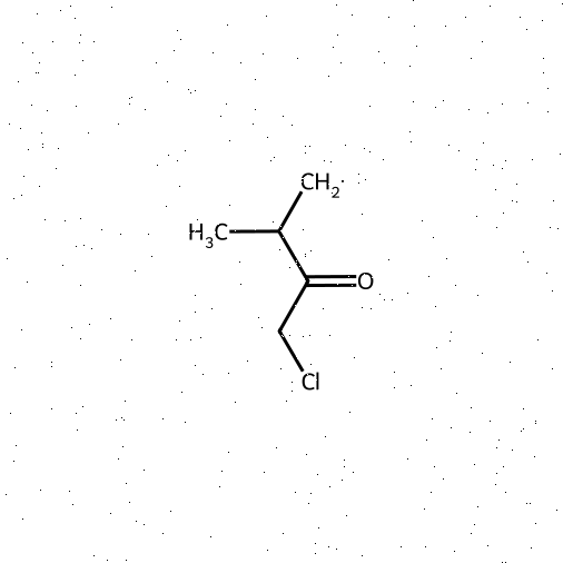 [CH2]C(C)C(=O)CCl